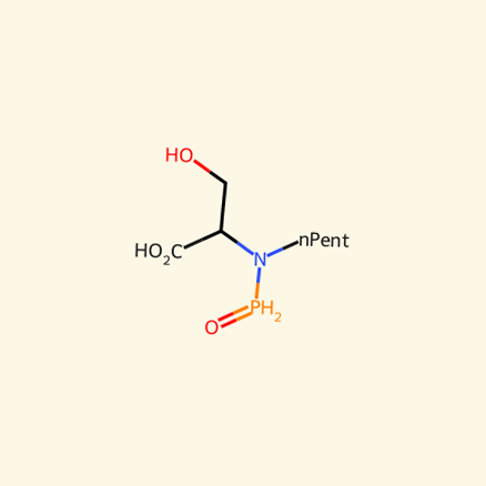 CCCCCN([PH2]=O)C(CO)C(=O)O